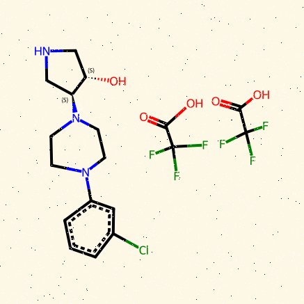 O=C(O)C(F)(F)F.O=C(O)C(F)(F)F.O[C@H]1CNC[C@@H]1N1CCN(c2cccc(Cl)c2)CC1